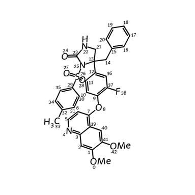 COc1cc2nccc(Oc3ccc(C4(Cc5ccccc5)CNC(=O)N4S(=O)(=O)c4ccc(C)cc4)cc3F)c2cc1OC